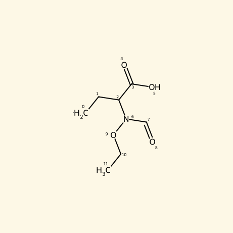 [CH2]CC(C(=O)O)N(C=O)OCC